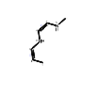 C/C=C\N/C=C\NC